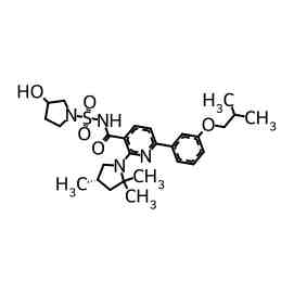 CC(C)COc1cccc(-c2ccc(C(=O)NS(=O)(=O)N3CCC(O)C3)c(N3C[C@@H](C)CC3(C)C)n2)c1